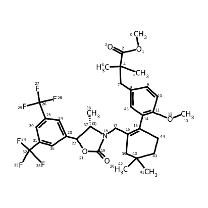 COC(=O)C(C)(C)Cc1ccc(OC)c(C2=C(CN3C(=O)OC(c4cc(C(F)(F)F)cc(C(F)(F)F)c4)[C@@H]3C)CC(C)(C)CC2)c1